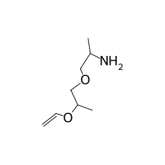 C=COC(C)COCC(C)N